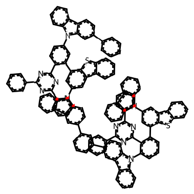 c1ccc(-c2ccc3c4ccccc4n(-c4ccc(-c5nc(-c6ccccc6)nc(-c6ccccc6)n5)c(-c5cc(-n6c7ccccc7c7cc(-c8cccc(-c9ccc%10c(c9)c9ccccc9n%10-c9cccc(-c%10cc(-n%11c%12ccccc%12c%12ccccc%12%11)cc%11c%10sc%10ccccc%10%11)c9-c9nc(-c%10ccccc%10)nc(-c%10ccccc%10)n9)c8)ccc76)cc6c5sc5ccccc56)c4)c3c2)cc1